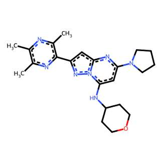 Cc1nc(C)c(-c2cc3nc(N4CCCC4)cc(NC4CCOCC4)n3n2)nc1C